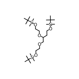 CC(C)(C)[Si](C)(C)OCCOCC(CCO[Si](C)(C)C(C)(C)C)OCCO[Si](C)(C)C(C)(C)C